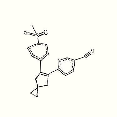 CS(=O)(=O)c1ccc(C2=C(c3ccc(C#N)cn3)CC3(CC3)C2)cc1